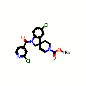 CC(C)(C)OC(=O)N1C=CC2(CC1)CN(C(=O)c1ccnc(Cl)c1)c1ccc(Cl)cc12